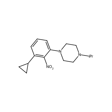 CC(C)N1CCN(c2cccc(C3CC3)c2[N+](=O)[O-])CC1